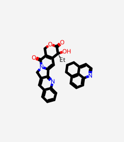 CC[C@@]1(O)C(=O)OCc2c1cc1n(c2=O)Cc2cc3ccccc3nc2-1.c1cc2c3c(ccnc3c1)CCC2